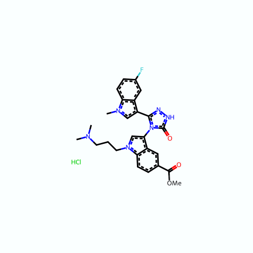 COC(=O)c1ccc2c(c1)c(-n1c(-c3cn(C)c4ccc(F)cc34)n[nH]c1=O)cn2CCCN(C)C.Cl